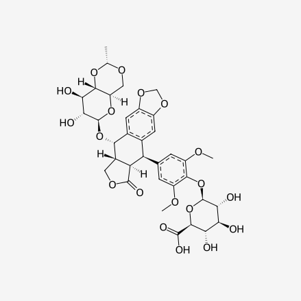 COc1cc([C@@H]2c3cc4c(cc3[C@@H](O[C@@H]3O[C@@H]5CO[C@@H](C)O[C@H]5[C@H](O)[C@H]3O)[C@H]3COC(=O)[C@H]23)OCO4)cc(OC)c1O[C@@H]1O[C@H](C(=O)O)[C@@H](O)[C@H](O)[C@H]1O